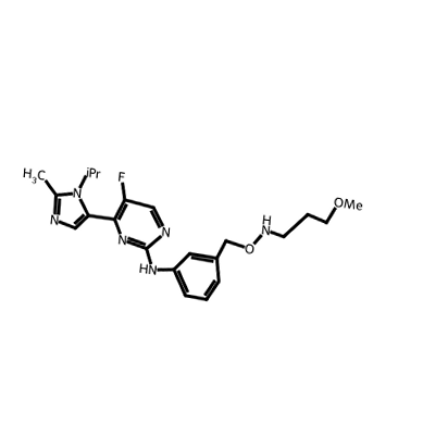 COCCCNOCc1cccc(Nc2ncc(F)c(-c3cnc(C)n3C(C)C)n2)c1